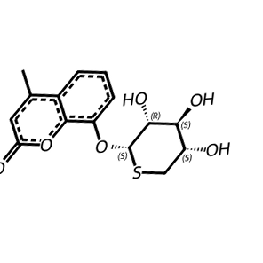 Cc1cc(=O)oc2c(O[C@H]3SC[C@@H](O)[C@H](O)[C@H]3O)cccc12